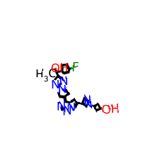 C[C@](O)(c1ccc(F)cc1)c1cnc(N2CC=C(c3ncnn4cc(-c5cnn(C6CC(O)C6)c5)cc34)CC2)nc1